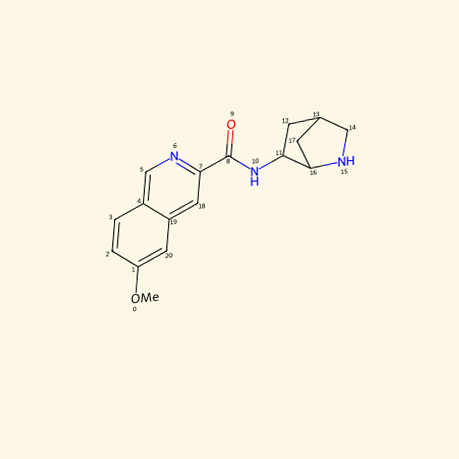 COc1ccc2cnc(C(=O)NC3CC4CNC3C4)cc2c1